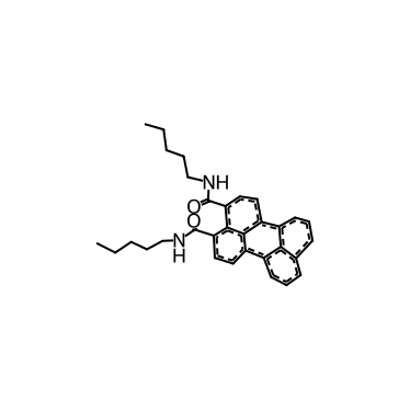 CCCCCNC(=O)c1ccc2c3cccc4cccc(c5ccc(C(=O)NCCCCC)c1c25)c43